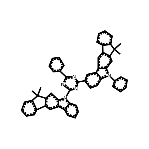 CC1(C)c2ccccc2-c2cc3c4cc(-c5nc(-c6ccccc6)nc(-n6c7ccccc7c7cc8c(cc76)C(C)(C)c6ccccc6-8)n5)ccc4n(-c4ccccc4)c3cc21